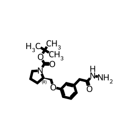 CC(C)(C)OC(=O)N1CCC[C@@H]1COc1cccc(CC(=O)NN)c1